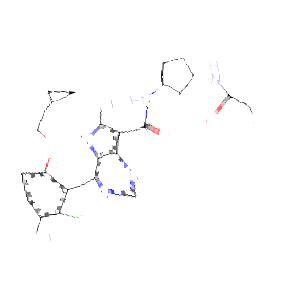 CCC(=O)N[C@H]1CC[C@H](NC(=O)c2c(C)[nH]c3c(-c4c(OCC5CC5)ccc(C)c4F)ncnc23)C1